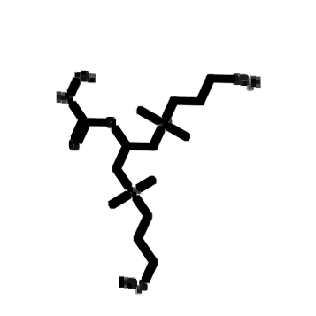 CCCCNC(=O)OC(C[N+](C)(C)CCCS(=O)(=O)O)C[N+](C)(C)CCCS(=O)(=O)O